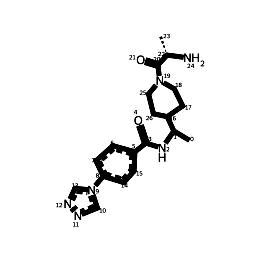 CC(NC(=O)c1ccc(-n2cnnc2)cc1)C1CCN(C(=O)[C@H](C)N)CC1